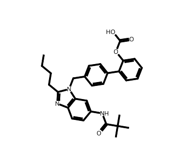 CCCCc1nc2ccc(NC(=O)C(C)(C)C)cc2n1Cc1ccc(-c2ccccc2OC(=O)O)cc1